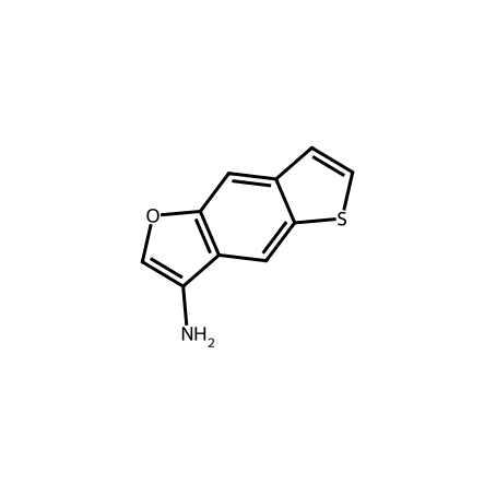 Nc1coc2cc3ccsc3cc12